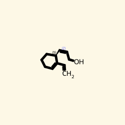 C=CC1=CCCC[C@H]1/C=C\CO